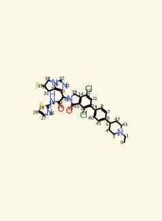 CCN1CCC(c2ccc(-c3cc(Cl)c4c(c3Cl)C(=O)N(C(C(=O)Nc3nccs3)c3ncn5c3CC(F)C5)C4)cc2)CC1